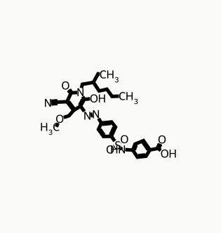 CCCCC(CC)Cn1c(O)c(/N=N/c2ccc(S(=O)(=O)Nc3ccc(C(=O)O)cc3)cc2)c(COC)c(C#N)c1=O